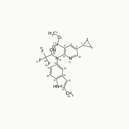 COC(=O)c1cc(C2CC2)cnc1N(c1ccc2[nH]c(C)cc2c1)C(O)C(F)(F)F